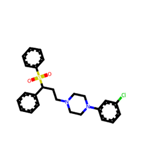 O=S(=O)(c1ccccc1)C(CCN1CCN(c2cccc(Cl)c2)CC1)c1ccccc1